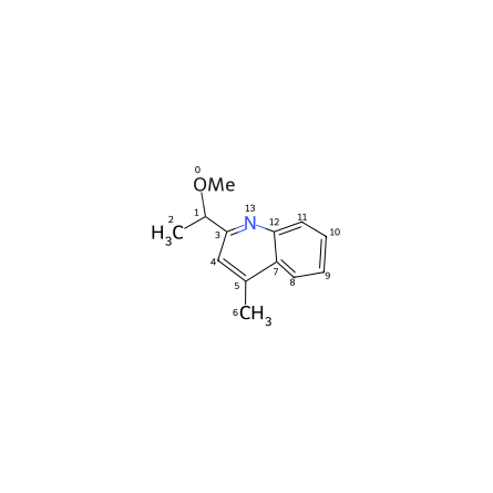 COC(C)c1cc(C)c2ccccc2n1